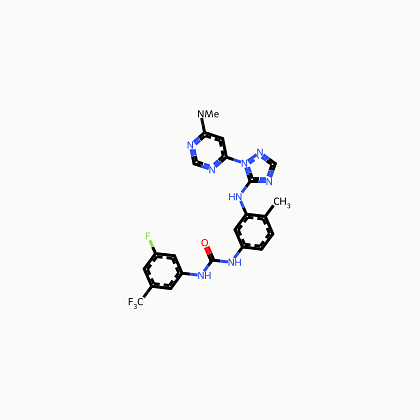 CNc1cc(-n2ncnc2Nc2cc(NC(=O)Nc3cc(F)cc(C(F)(F)F)c3)ccc2C)ncn1